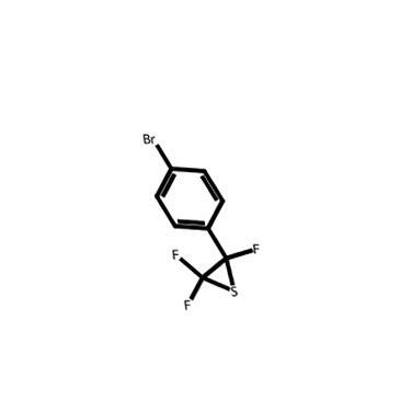 FC1(F)SC1(F)c1ccc(Br)cc1